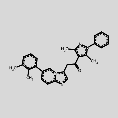 Cc1cccc(-c2ccc3ncc(CC(=O)c4c(C)nn(-c5ccccc5)c4C)n3c2)c1C